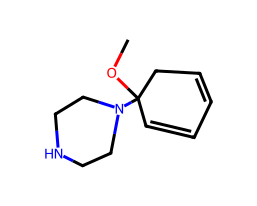 COC1(N2CCNCC2)C=CC=CC1